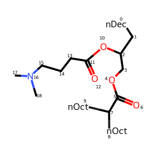 CCCCCCCCCCCC(COC(=O)C(CCCCCCCC)CCCCCCCC)OC(=O)CCCN(C)C